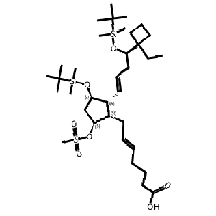 CCC1(C(CC=C[C@@H]2[C@@H](CC=CCCCC(=O)O)[C@@H](OS(C)(=O)=O)C[C@H]2O[Si](C)(C)C(C)(C)C)O[Si](C)(C)C(C)(C)C)CCC1